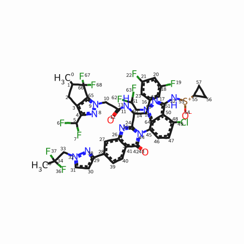 CC1Cc2c(C(F)F)nn(CC(=O)NC(Cc3cc(F)cc(F)c3)c3nc4cc(-c5ccn(CC(C)(F)F)n5)ccc4c(=O)n3-c3ccc(Cl)c4c(N[S+]([O-])C5CC5)nn(CC(F)F)c34)c2C1(F)F